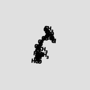 COc1ccc2c(c1)C(CC(=O)OCCCC(=O)OCOC(=O)N1CCN(c3c(F)cc4c(=O)c(C(=O)O)cn(C5CC5)c4c3OC)CC1C)=C(C)C2C(=O)c1ccc(Cl)cc1